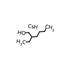 CCCCC(CC)CO.[CsH]